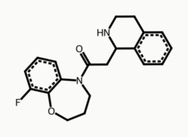 O=C(CC1NCCc2ccccc21)N1CCCOc2c(F)cccc21